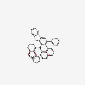 c1ccc(-c2ccccc2N(c2c3c(cc(-c4ccccc4)c2-c2ccccc2)-c2ccccc2C3)c2cccc3sc4ccccc4c23)cc1